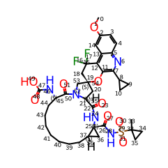 COc1ccc2nc(C3CC3)c3c(c2c1)C(F)(F)C[C@]1(C[C@H]2C(=O)N[C@]4(C(=O)NS(=O)(=O)C5(C)CC5)C[C@@H]4CCCCCCC[C@H](NC(=O)O)C(=O)N2C1)O3